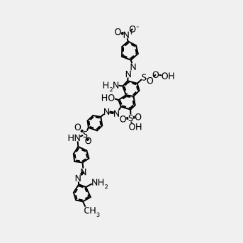 Cc1ccc(N=Nc2ccc(NS(=O)(=O)c3ccc(N=Nc4c(S(=O)(=O)O)cc5cc(SOOO)c(N=Nc6ccc([N+](=O)[O-])cc6)c(N)c5c4O)cc3)cc2)c(N)c1